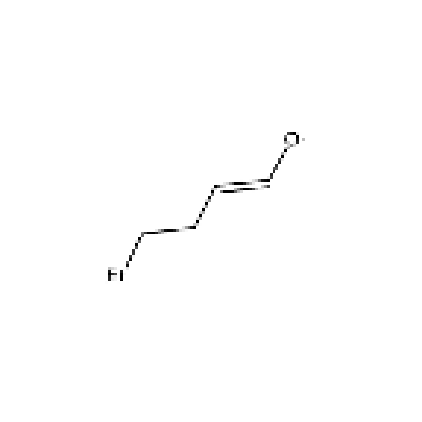 CCCC/C=C/[O]